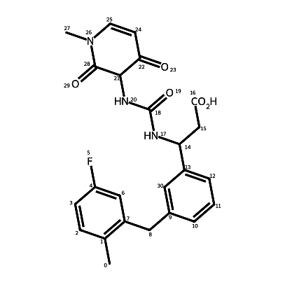 Cc1ccc(F)cc1Cc1cccc(C(CC(=O)O)NC(=O)NC2C(=O)C=CN(C)C2=O)c1